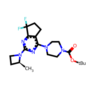 C[C@H]1CCN1c1nc(N2CCN(C(=O)OC(C)(C)C)CC2)c2c(n1)C(F)(F)CC2